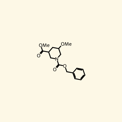 COC(=O)C1CC(OC)CN(C(=O)OCc2ccccc2)C1